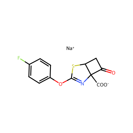 O=C([O-])C12N=C(Oc3ccc(F)cc3)SC1CC2=O.[Na+]